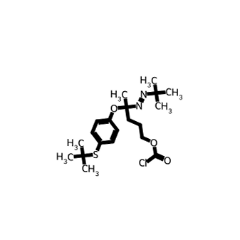 CC(C)(C)/N=N/C(C)(CCCOC(=O)Cl)Oc1ccc(SC(C)(C)C)cc1